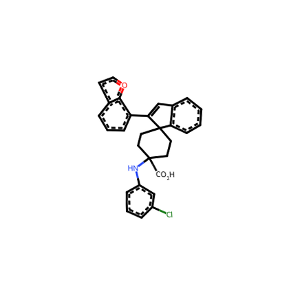 O=C(O)C1(Nc2cccc(Cl)c2)CCC2(CC1)C(c1cccc3ccoc13)=Cc1ccccc12